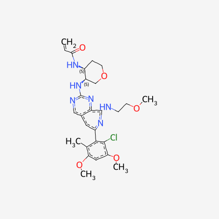 C=CC(=O)N[C@H]1CCOC[C@H]1Nc1ncc2cc(-c3c(C)c(OC)cc(OC)c3Cl)nc(NCCOC)c2n1